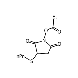 CCCSC1CC(=O)N(OC(=O)CC)C1=O